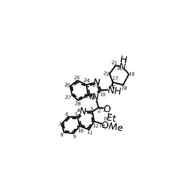 CCOC(c1nc2ccccc2cc1OC)n1c(NC2CCNCC2)nc2ccccc21